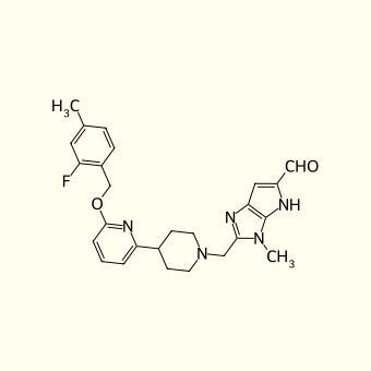 Cc1ccc(COc2cccc(C3CCN(Cc4nc5cc(C=O)[nH]c5n4C)CC3)n2)c(F)c1